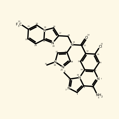 Cc1ncc2c(N)nc3cc(Cl)c(C(=O)N(Cc4cn5cc(C(F)(F)F)ccc5n4)c4cnn(C)c4)cc3n12